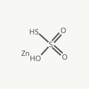 O=S(=O)(O)S.[Zn]